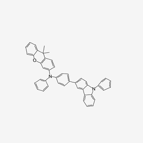 CC1(C)c2ccccc2Oc2cc(N(c3ccccc3)c3ccc(-c4ccc5c(c4)c4ccccc4n5-c4ccccc4)cc3)ccc21